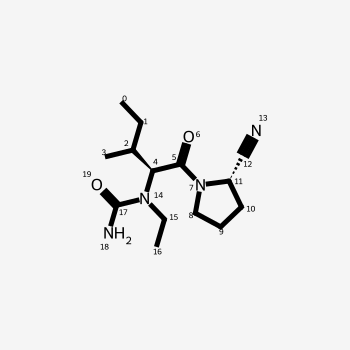 CCC(C)[C@@H](C(=O)N1CCC[C@H]1C#N)N(CC)C(N)=O